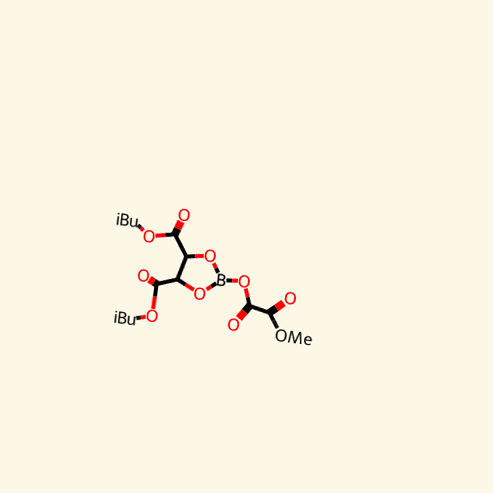 CCC(C)OC(=O)C1OB(OC(=O)C(=O)OC)OC1C(=O)OC(C)CC